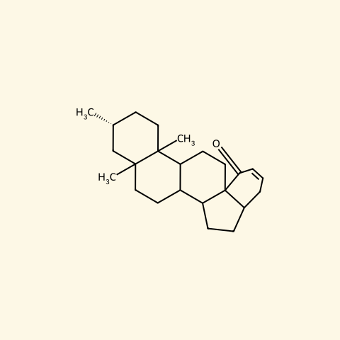 C[C@@H]1CCC2(C)C3CCC45C(=O)C=CCC4CCC5C3CCC2(C)C1